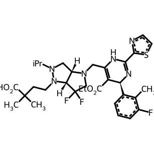 CCOC(=O)C1=C(CN2CC(F)(F)[C@H]3[C@@H]2CN(C(C)C)N3CCC(C)(C)C(=O)O)NC(c2nccs2)=N[C@H]1c1cccc(F)c1C